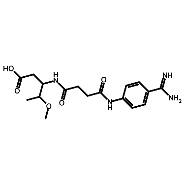 COC(C)C(CC(=O)O)NC(=O)CCC(=O)Nc1ccc(C(=N)N)cc1